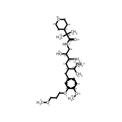 COCCCOc1cc(CC(CC(N)C(O)CNC(=O)C(C)(C)C2CCOCC2)C(C)C)ccc1OC.Cl